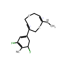 CB/C1=C/CCC/C=C(\C2=CC(F)=C(C#N)C(F)C2)CC1